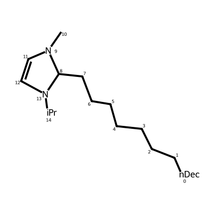 CCCCCCCCCCCCCCCCCC1N(C)C=CN1C(C)C